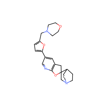 c1nc2c(cc1-c1ccc(CN3CCOCC3)o1)CC1(CN3CCC1CC3)O2